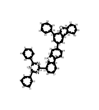 c1ccc(-c2nc(-c3ccccc3)nc(-c3cccc4c3sc3cc(-c5cc(-c6ccccc6)c6oc7ccccc7c6c5)ccc34)n2)cc1